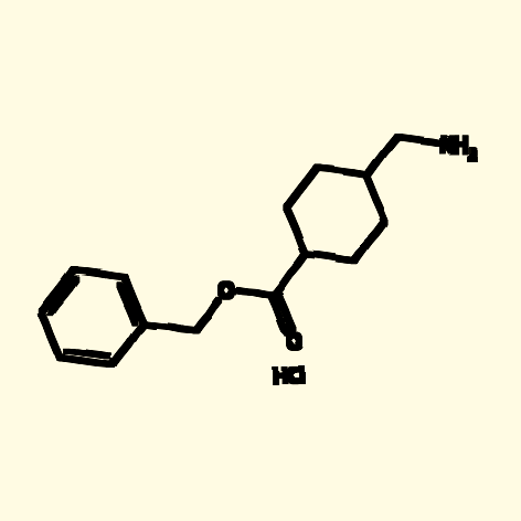 Cl.NCC1CCC(C(=O)OCc2ccccc2)CC1